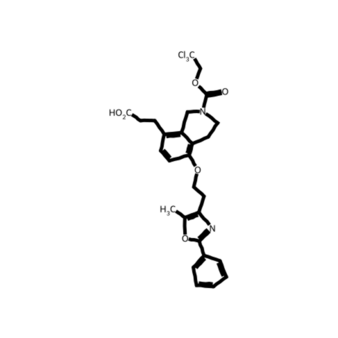 Cc1oc(-c2ccccc2)nc1CCOc1ccc(CCC(=O)O)c2c1CCN(C(=O)OCC(Cl)(Cl)Cl)C2